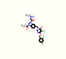 CNCC(=O)N1CN(C(C)=O)c2ccc(Cn3cnc(OCc4ccc(F)cc4F)c(Cl)c3=O)cc21